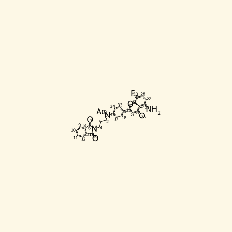 CC(=O)N(CCCN1C(=O)c2ccccc2C1=O)c1ccc(-c2cc(=O)c3c(N)ccc(F)c3o2)cc1